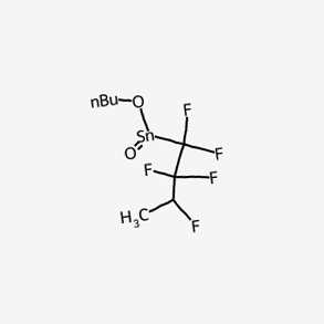 CCCC[O][Sn](=[O])[C](F)(F)C(F)(F)C(C)F